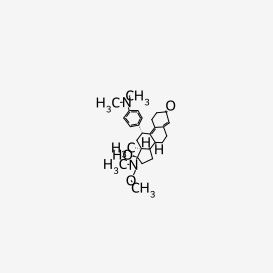 COCN(C)[C@@]1(O)CC[C@H]2[C@@H]3CCC4=CC(=O)CCC4=C3[C@@H](c3ccc(N(C)C)cc3)C[C@@]21C